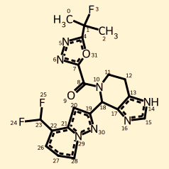 CC(C)(F)c1nnc(C(=O)N2CCc3[nH]cnc3C2c2cc3c(C(F)F)cccn3n2)o1